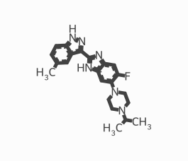 Cc1ccc2[nH]nc(-c3nc4cc(F)c(N5CCN(C(C)C)CC5)cc4[nH]3)c2c1